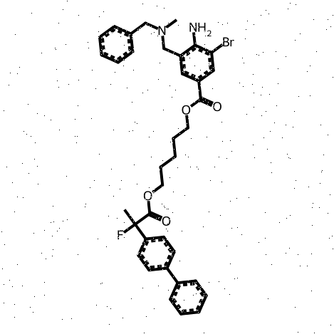 CN(Cc1ccccc1)Cc1cc(C(=O)OCCCCCOC(=O)C(C)(F)c2ccc(-c3ccccc3)cc2)cc(Br)c1N